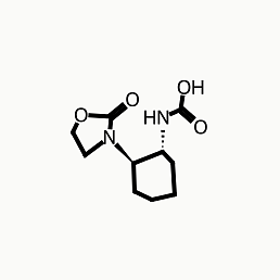 O=C(O)N[C@@H]1CCCC[C@H]1N1CCOC1=O